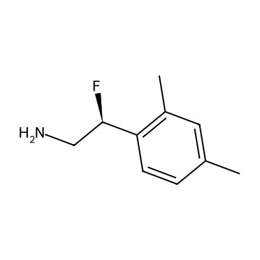 Cc1ccc([C@H](F)CN)c(C)c1